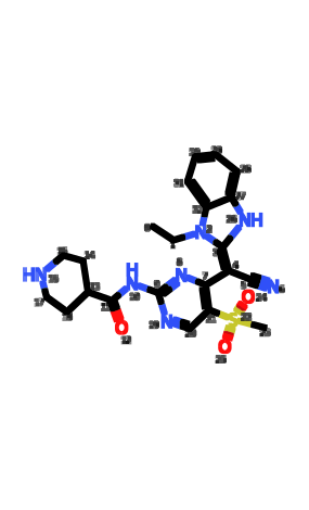 CCN1C(=C(C#N)c2nc(NC(=O)C3CCNCC3)ncc2S(C)(=O)=O)Nc2ccccc21